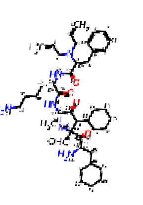 C=CCN(CC=C)[C@@H](Cc1ccccc1)C(=O)N[C@@H](CCCCN)C(=O)N[C@@H](C)C(=O)C(C1CCCCC1)[C@](N)([C]=O)C(=O)[C@H](N)CC1CCCCC1